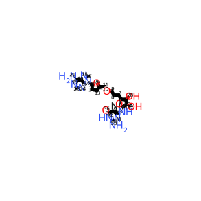 CNc1c(NC2OC(CCCOCC3CC[C@H](n4cnc5c(N)ncnc54)O3)C(O)C2O)nc(N)[nH]c1=O